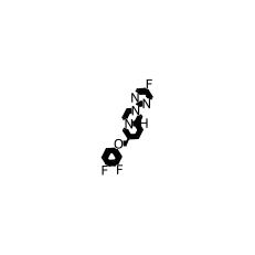 Fc1cnc(N2CCN3C[C@H](COc4ccc(F)c(F)c4)CC[C@H]3C2)nc1